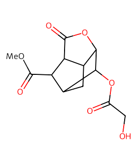 COC(=O)C1C2CC3C(OC(=O)C31)C2OC(=O)CO